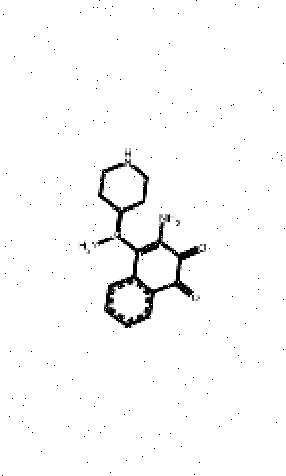 NC1=C(N(N)C2CCNCC2)c2ccccc2C(=O)C1=O